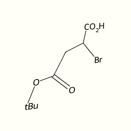 CC(C)(C)OC(=O)CC(Br)C(=O)O